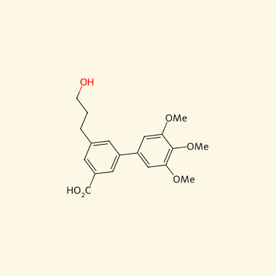 COc1cc(-c2cc(CCCO)cc(C(=O)O)c2)cc(OC)c1OC